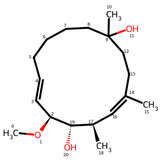 CO[C@H]1/C=C/CCCCC(C)(O)CC/C(C)=C\[C@@H](C)[C@@H]1O